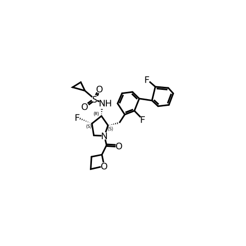 O=C(C1CCO1)N1C[C@H](F)[C@H](NS(=O)(=O)C2CC2)[C@@H]1Cc1cccc(-c2ccccc2F)c1F